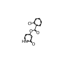 O=C(Oc1cc[nH]c(=O)c1)c1ccccc1Cl